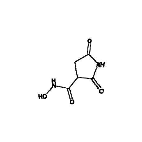 O=C1CC(C(=O)NO)C(=O)N1